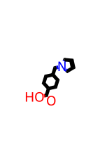 O=C(O)C1CCC(CN2CC=CC2)CC1